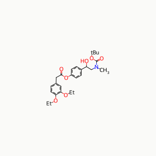 CCOc1ccc(CC(=O)Oc2ccc(C(O)CN(C)C(=O)OC(C)(C)C)cc2)cc1OCC